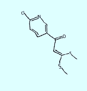 CSC(=CC(=O)c1ccc(Cl)nc1)SC